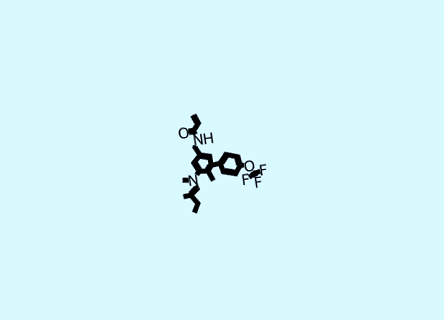 C=CC(=O)NCc1cc(-c2ccc(OC(F)(F)F)cc2)c(C)c(N(C)/C=C(\C)CC)c1